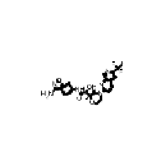 C[C@]1(C(O)C(=O)Nc2ccc3c(N)noc3c2)OCCN(c2ccc3cc(C(F)(F)F)ncc3n2)C1=O